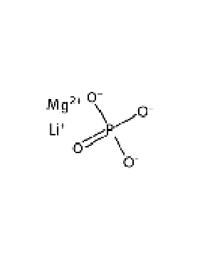 O=P([O-])([O-])[O-].[Li+].[Mg+2]